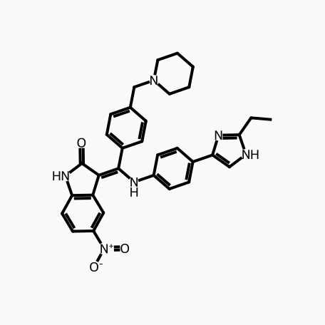 CCc1nc(-c2ccc(NC(=C3C(=O)Nc4ccc([N+](=O)[O-])cc43)c3ccc(CN4CCCCC4)cc3)cc2)c[nH]1